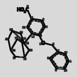 O=C(O)c1ccc(OCc2ccccc2)c(C23CC4CC(CC(C4)C2)C3)c1